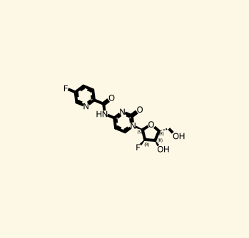 O=C(Nc1ccn([C@H]2O[C@H](CO)[C@@H](O)[C@H]2F)c(=O)n1)c1ccc(F)cn1